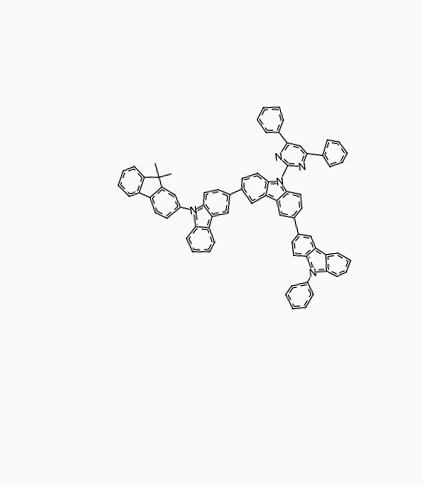 CC1(C)c2ccccc2-c2ccc(-n3c4ccccc4c4cc(-c5ccc6c(c5)c5cc(-c7ccc8c(c7)c7ccccc7n8-c7ccccc7)ccc5n6-c5nc(-c6ccccc6)cc(-c6ccccc6)n5)ccc43)cc21